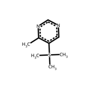 Cc1ncncc1S(C)(C)C